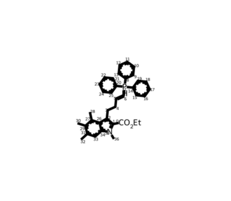 CCOC(=O)c1c(CCC=C[PH](c2ccccc2)(c2ccccc2)c2ccccc2)c2c(C)c(C)c(C)cc2n1C